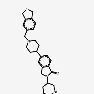 O=C1c2ccc(C3CCN(Cc4ccc5c(c4)COC5)CC3)cc2CN1C1CCCNC1